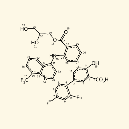 O=C(O)c1cc(-c2ccc(F)cc2F)ccc1O.O=C(OCC(O)CO)c1ccccc1Nc1ccnc2c(C(F)(F)F)cccc12